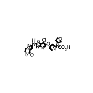 CN1CCn2nc(Nc3nc4ncc(Oc5ccnc(N(C(=O)O)[C@@H]6CCOC6)c5)c(Cl)c4n3C)cc2C1=O